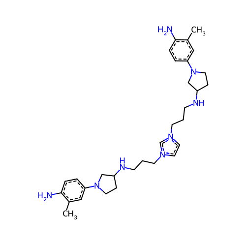 Cc1cc(N2CCC(NCCCn3cc[n+](CCCNC4CCN(c5ccc(N)c(C)c5)C4)c3)C2)ccc1N